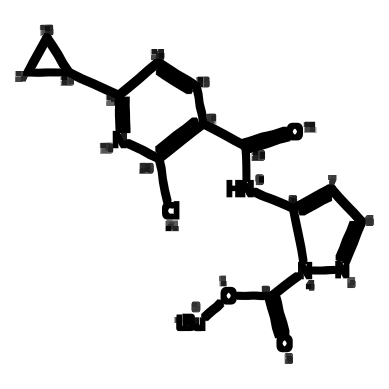 CC(C)(C)OC(=O)n1nccc1NC(=O)c1ccc(C2CC2)nc1Cl